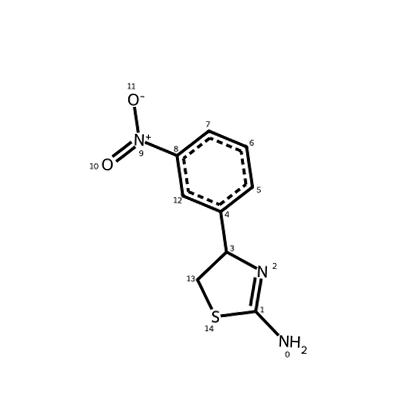 NC1=NC(c2cccc([N+](=O)[O-])c2)CS1